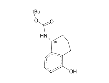 CC(C)(C)OC(=O)N[C@@H]1CCCc2c(O)cccc21